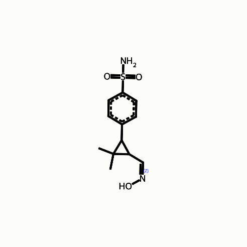 CC1(C)C(/C=N\O)C1c1ccc(S(N)(=O)=O)cc1